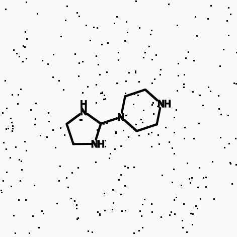 C1CN([C]2NCCN2)CCN1